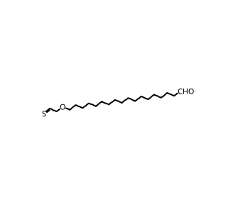 O=[C]CCCCCCCCCCCCCCCCCOCC=S